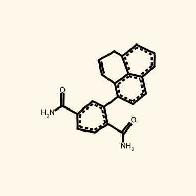 NC(=O)c1ccc(C(N)=O)c(-c2ccc3cccc4c3c2C=CC4)c1